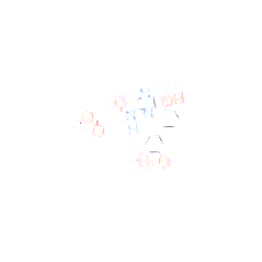 COc1ccc(C2=CC=C[C@@](O)(c3cncc(NC(=O)CCC(=O)OC(C)(C)C)n3)C2)cc1OC